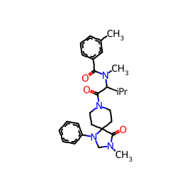 Cc1cccc(C(=O)N(C)C(C(=O)N2CCC3(CC2)C(=O)N(C)CN3c2ccccc2)C(C)C)c1